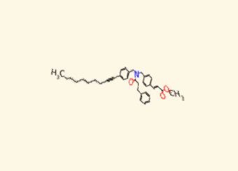 CCCCCCCCC#Cc1ccc(CN(Cc2ccc(/C=C/C(=O)OC)cc2)C(=O)CCc2ccccc2)cc1